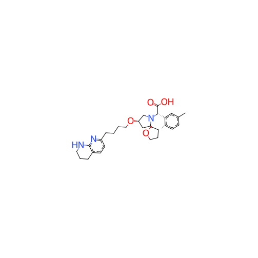 Cc1ccc([C@@H]2CCOC2)c([C@@H](C(=O)O)N2CC[C@@H](OCCCCc3ccc4c(n3)NCCC4)C2)c1